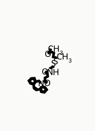 CC(=O)CCC(C)SSCCNC(=O)CCC(=O)N1Cc2ccccc2C#Cc2ccccc21